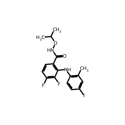 Cc1cc(I)ccc1Nc1c(C(=O)NOC(C)C)ccc(F)c1F